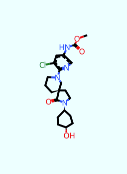 COC(=O)Nc1cnc(N2CCC[C@]3(CCN([C@H]4CC[C@H](O)CC4)C3=O)C2)c(Cl)c1